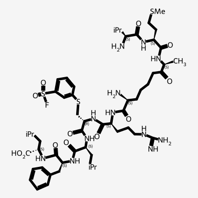 CSCC[C@H](NC(=O)[C@@H](N)C(C)C)C(=O)N[C@@H](C)C(=O)CCCC[C@H](N)C(=O)N[C@@H](CCCNC(=N)N)C(=O)N[C@@H](CSc1cccc(S(=O)(=O)F)c1)C(=O)N[C@@H](CC(C)C)C(=O)N[C@@H](Cc1ccccc1)C(=O)N[C@@H](CC(C)C)C(=O)O